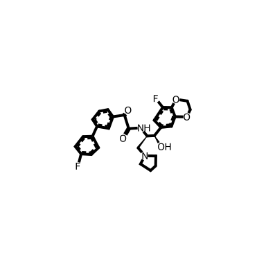 O=C(N[C@H](CN1CCCC1)[C@H](O)c1cc(F)c2c(c1)OCCO2)C(=O)c1cccc(-c2ccc(F)cc2)c1